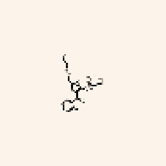 CCCCCCc1cc(C(=O)c2ccccc2C)c(NC(=O)CCl)s1